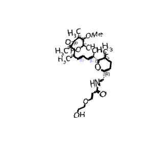 CO[C@H]([C@@H](C)[C@H]1O[C@]1(C)C[C@H](C)/C=C/C=C(\C)[C@H]1O[C@@H](CNC(=O)C=COCCO)CC[C@@H]1C)[C@@H](C)O